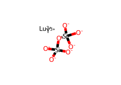 [Lu+3].[O-][Si]([O-])([O-])O[Si]([O-])([O-])[O-].[Y+3]